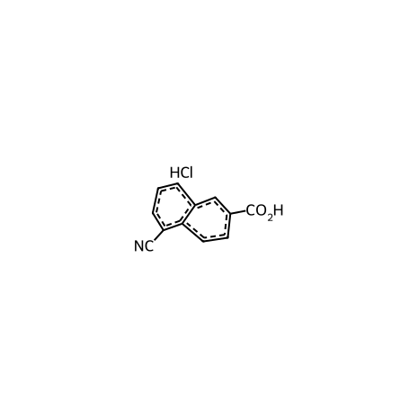 Cl.N#Cc1cccc2cc(C(=O)O)ccc12